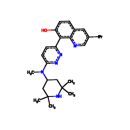 CC(C)c1cnc2c(-c3ccc(N(C)C4CC(C)(C)NC(C)(C)C4)nn3)c(O)ccc2c1